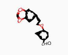 O=Cc1ccc(OCCc2ccc3c(c2)OCO3)cc1